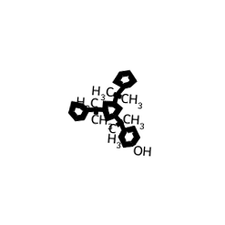 CC(C)(c1ccccc1)c1cc(C(C)(C)c2ccccc2)cc(C(C)(C)c2ccc(O)cc2)c1